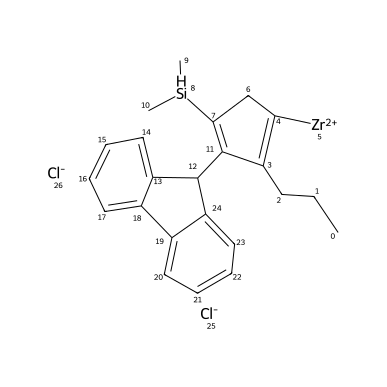 CCCC1=[C]([Zr+2])CC([SiH](C)C)=C1C1c2ccccc2-c2ccccc21.[Cl-].[Cl-]